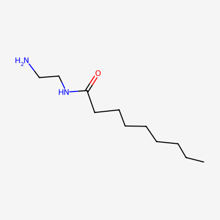 CCCCCCCCC(=O)NCCN